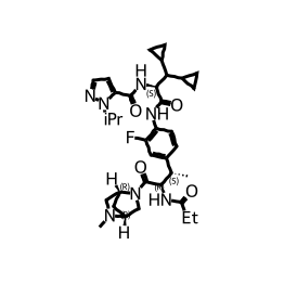 CCC(=O)N[C@@H](C(=O)N1C[C@H]2C[C@@H]1CN2C)[C@@H](C)c1ccc(NC(=O)[C@@H](NC(=O)c2ccnn2C(C)C)C(C2CC2)C2CC2)c(F)c1